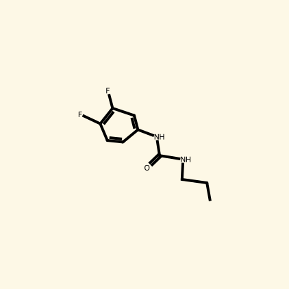 CCCNC(=O)Nc1ccc(F)c(F)c1